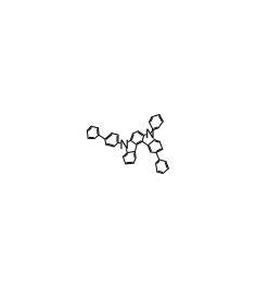 c1ccc(-c2ccc(-n3c4ccccc4c4c5c6cc(-c7ccccc7)ccc6n(-c6ccccc6)c5ccc43)cc2)cc1